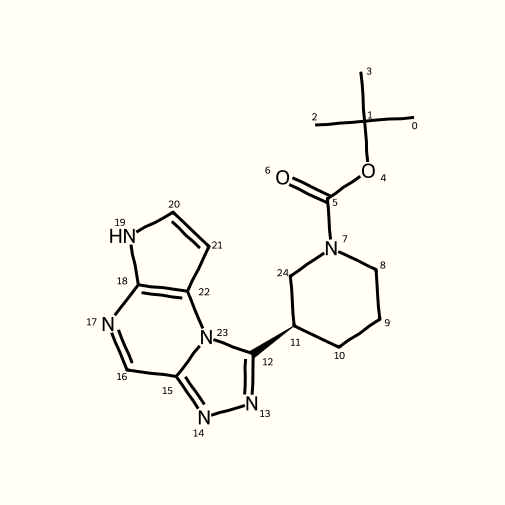 CC(C)(C)OC(=O)N1CCC[C@@H](c2nnc3cnc4[nH]ccc4n23)C1